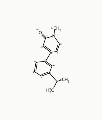 CC(C)c1cccc(-c2ccn(C)c(=O)c2)c1